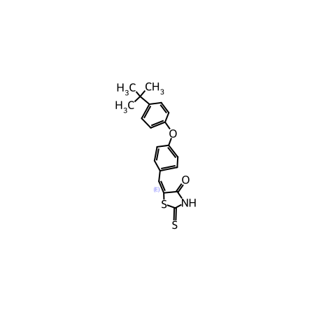 CC(C)(C)c1ccc(Oc2ccc(/C=C3/SC(=S)NC3=O)cc2)cc1